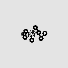 C1=CC(c2ccccc2-c2ccc3c4ccccc4n(-c4nc(-c5ccccc5)nc(-c5cccc6oc7ccccc7c56)n4)c3c2)=CCC1